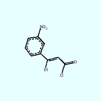 CCC(=CC(=O)Cl)c1cccc([N+](=O)[O-])c1